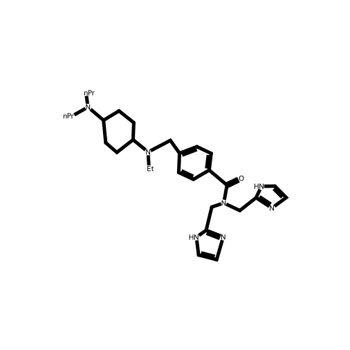 CCCN(CCC)C1CCC(N(CC)Cc2ccc(C(=O)N(Cc3ncc[nH]3)Cc3ncc[nH]3)cc2)CC1